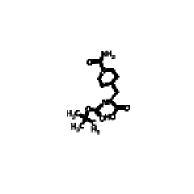 CC(C)(C)OC(=O)N[C@@H](CC1CCN(C(N)=O)CC1)C(=O)O